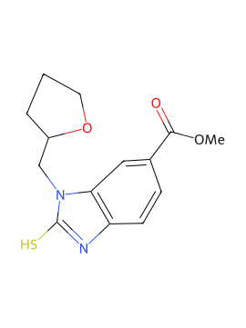 COC(=O)c1ccc2nc(S)n(CC3CCCO3)c2c1